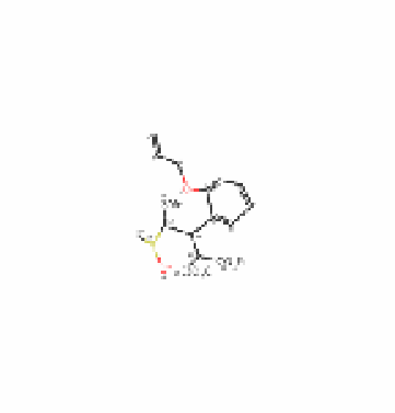 C=CCOc1ccccc1C(C(C(=O)OCC)C(=O)OCC)C(SC)[S+](C)[O-]